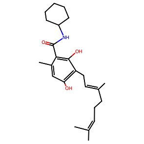 CC(C)=CCC/C(C)=C/Cc1c(O)cc(C)c(C(=O)NC2CCCCC2)c1O